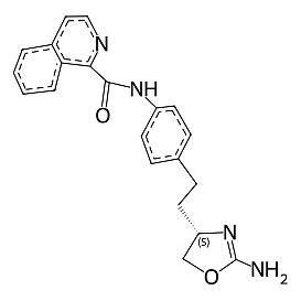 NC1=N[C@@H](CCc2ccc(NC(=O)c3nccc4ccccc34)cc2)CO1